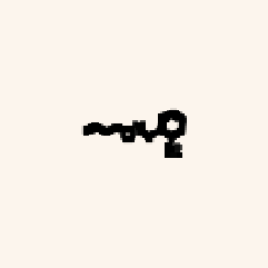 C=CCCON=[C]c1ccccc1CC